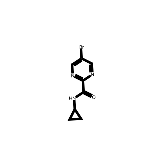 O=C(NC1CC1)c1ncc(Br)cn1